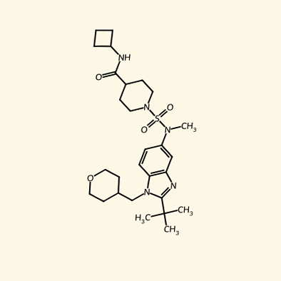 CN(c1ccc2c(c1)nc(C(C)(C)C)n2CC1CCOCC1)S(=O)(=O)N1CCC(C(=O)NC2CCC2)CC1